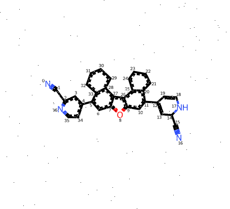 N#Cc1cc(-c2cc3oc4cc(C5=CC(C#N)NC=C5)c5ccccc5c4c3c3ccccc23)ccn1